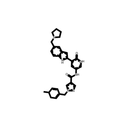 CC1C=CC(Cn2cc(C(=O)Nc3c[nH]c(=O)c(-c4cc5cc(CN6CCCC6)ccc5[nH]4)c3)cn2)=CC1